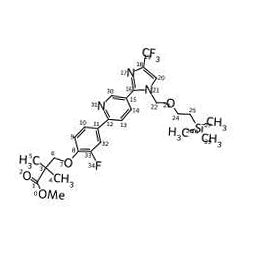 COC(=O)C(C)(C)COc1ccc(-c2ccc(-c3nc(C(F)(F)F)cn3COCC[Si](C)(C)C)cn2)cc1F